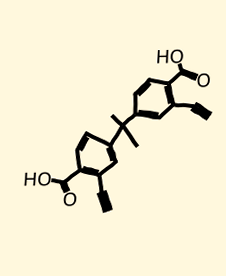 C#Cc1cc(C(C)(C)c2ccc(C(=O)O)c(C#C)c2)ccc1C(=O)O